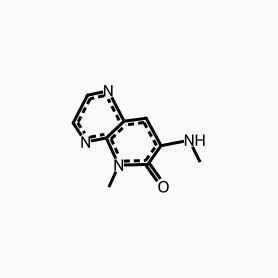 CNc1cc2nccnc2n(C)c1=O